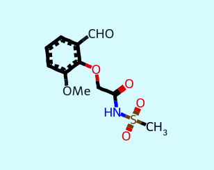 COc1cccc(C=O)c1OCC(=O)NS(C)(=O)=O